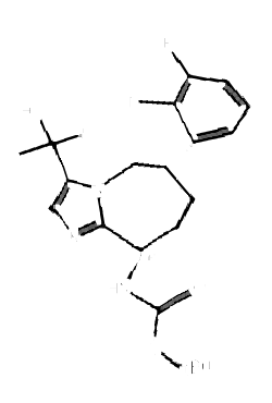 CCC(C)(O)c1cnc2n1C[C@H](c1cccc(F)c1F)CC[C@H]2NC(=O)OC(C)(C)C